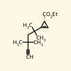 C#CC(C)(C)CC(C)(C)C1=C[C@H]1C(=O)OCC